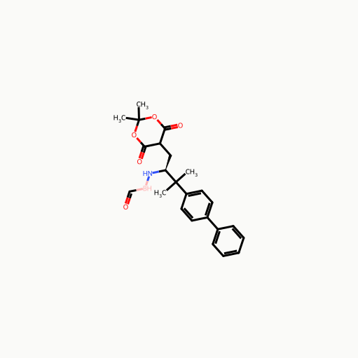 CC1(C)OC(=O)C(C[C@H](NBC=O)C(C)(C)c2ccc(-c3ccccc3)cc2)C(=O)O1